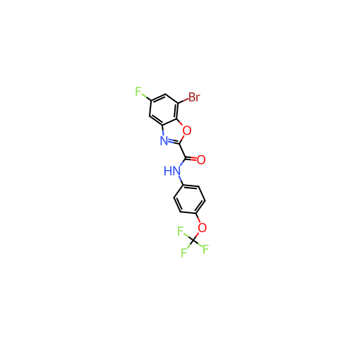 O=C(Nc1ccc(OC(F)(F)F)cc1)c1nc2cc(F)cc(Br)c2o1